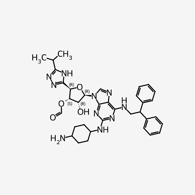 CC(C)c1nnc([C@H]2O[C@@H](n3cnc4c(NCC(c5ccccc5)c5ccccc5)nc(NC5CCC(N)CC5)nc43)[C@H](O)[C@@H]2OC=O)[nH]1